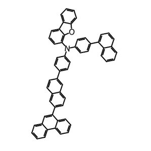 c1ccc2c(-c3ccc(N(c4ccc(-c5ccc6cc(-c7cc8ccccc8c8ccccc78)ccc6c5)cc4)c4cccc5c4oc4ccccc45)cc3)cccc2c1